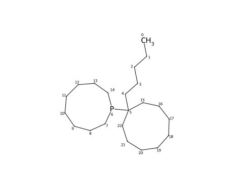 CCCCCC1(P2CCCCCCCC2)CCCCCCCC1